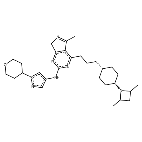 CC1=NCc2nc(Nc3cnn(C4CCOCC4)c3)nc(CCC[C@H]3CC[C@H](N4C(C)CC4C)CC3)c21